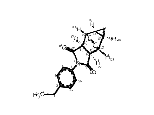 CCc1ccc(N2C(=O)[C@@H]3[C@@H]4CC[C@@H]([C@H]5C[C@H]54)[C@@H]3C2=O)cc1